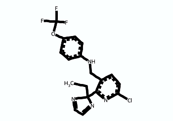 CCC1(c2nc(Cl)ccc2CNc2ccc(OC(F)(F)F)cc2)N=CC=N1